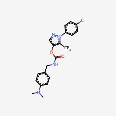 CN(C)c1ccc(CNC(=O)Oc2cnn(-c3ccc(Cl)cc3)c2C(F)(F)F)cc1